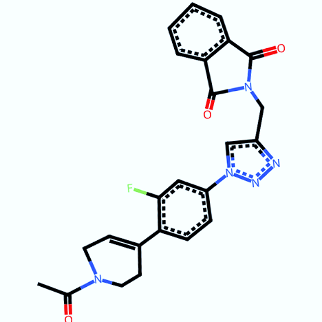 CC(=O)N1CC=C(c2ccc(-n3cc(CN4C(=O)c5ccccc5C4=O)nn3)cc2F)CC1